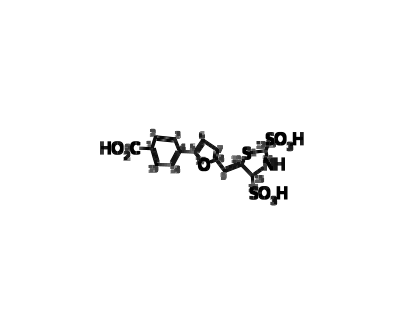 O=C(O)c1ccc(-c2ccc(/C=C3\SC(S(=O)(=O)O)NC3S(=O)(=O)O)o2)cc1